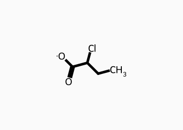 CCC(Cl)C([O])=O